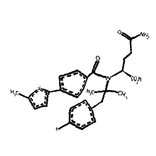 Cc1ccc(-c2ccc(C(=O)N([C@@H](CCC(N)=O)C(=O)O)C(C)(C)Cc3ccc(F)cc3)cc2)s1